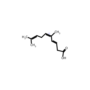 CC(C)=CC/C=C(/C)C=CCC(=O)O